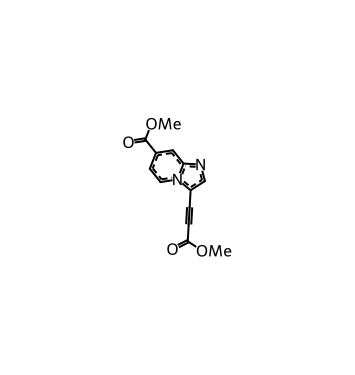 COC(=O)C#Cc1cnc2cc(C(=O)OC)ccn12